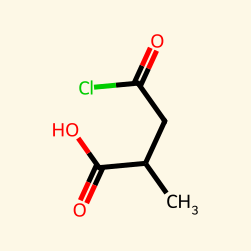 CC(CC(=O)Cl)C(=O)O